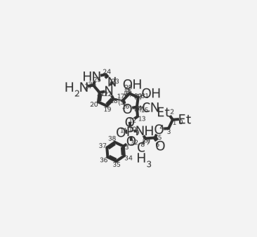 CCC(CC)COC(=O)[C@H](C)NP(=O)(OC[C@@]1(C#N)O[C@@H](c2ccc3n2N=CNC3N)[C@H](O)[C@@H]1O)Oc1ccccc1